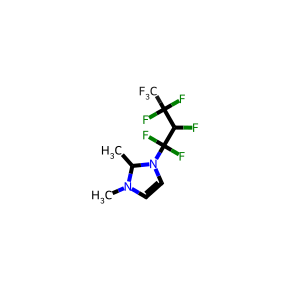 CC1N(C)C=CN1C(F)(F)C(F)C(F)(F)C(F)(F)F